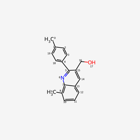 Cc1ccc(-c2nc3c(C)cccc3cc2CO)cc1